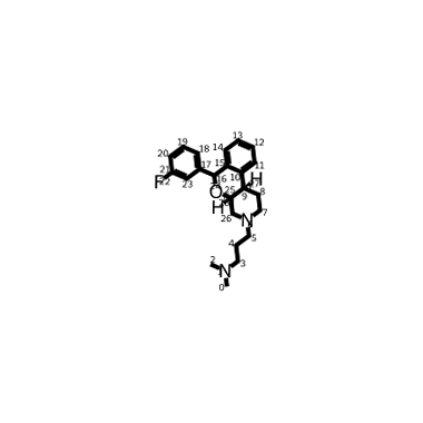 CN(C)CCCN1CC[C@H]2c3ccccc3C(c3cccc(F)c3)O[C@H]2C1